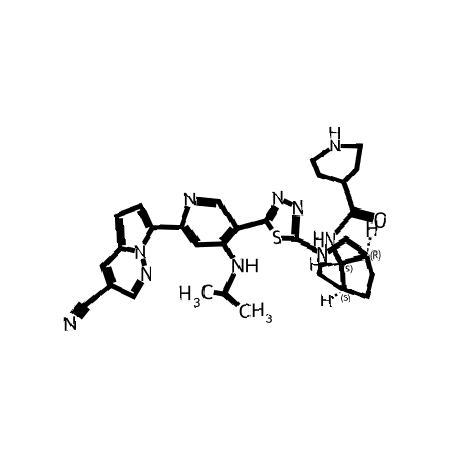 CC(C)Nc1cc(-c2ccc3cc(C#N)cnn23)ncc1-c1nnc(N2C[C@H]3CC[C@@H](C2)[C@@H]3NC(=O)C2CCNCC2)s1